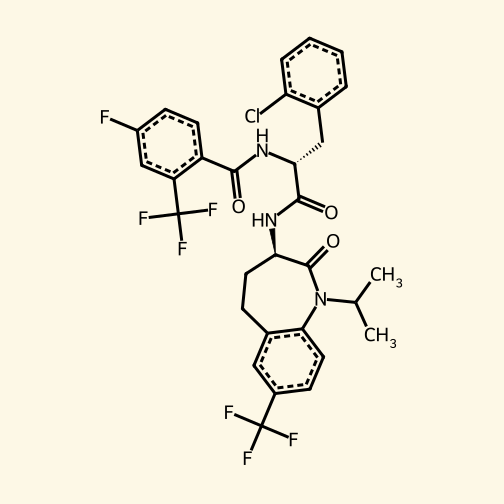 CC(C)N1C(=O)[C@H](NC(=O)[C@@H](Cc2ccccc2Cl)NC(=O)c2ccc(F)cc2C(F)(F)F)CCc2cc(C(F)(F)F)ccc21